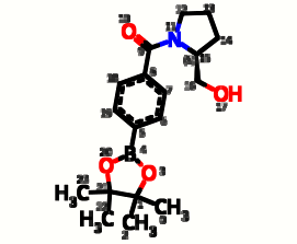 CC1(C)OB(c2ccc(C(=O)N3CCC[C@H]3CO)cc2)OC1(C)C